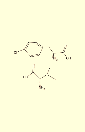 CC(C)[C@H](N)C(=O)O.N[C@@H](Cc1ccc(Cl)cc1)C(=O)O